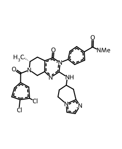 CNC(=O)c1ccc(-n2c(NC3CCn4ccnc4C3)nc3c(c2=O)C[C@@H](C)N(C(=O)c2ccc(Cl)c(Cl)c2)C3)cc1